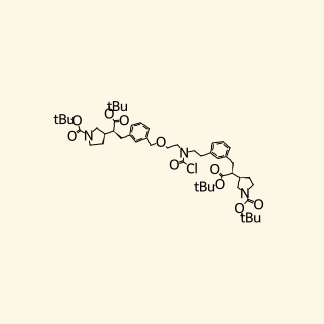 CC(C)(C)OC(=O)[C@@H](Cc1cccc(CCN(CCOCc2cccc(C[C@H](C(=O)OC(C)(C)C)[C@H]3CCN(C(=O)OC(C)(C)C)C3)c2)C(=O)Cl)c1)[C@H]1CCN(C(=O)OC(C)(C)C)C1